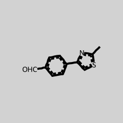 Cc1nc(-c2ccc(C=O)cc2)cs1